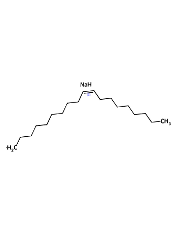 [CH2]CCCCCCCC/C=C\CCCCCCCC.[NaH]